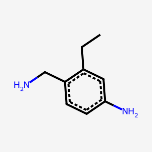 CCc1cc(N)ccc1CN